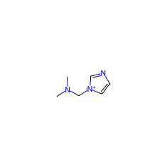 CN(C)C[N+]1C=CN=C1